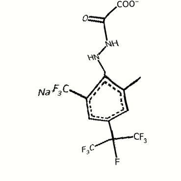 Cc1cc(C(F)(C(F)(F)F)C(F)(F)F)cc(C(F)(F)F)c1NNC(=O)C(=O)[O-].[Na+]